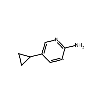 Nc1[c]cc(C2CC2)cn1